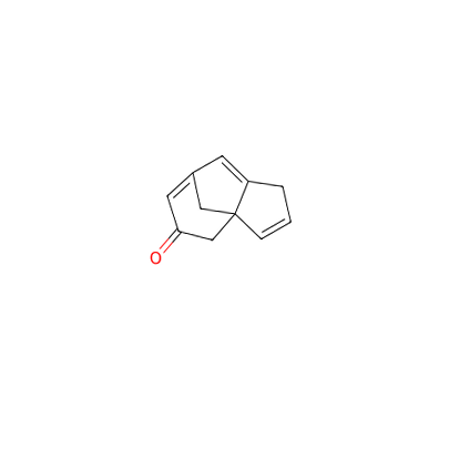 O=C1C=C2C=C3CC=CC3(C1)C2